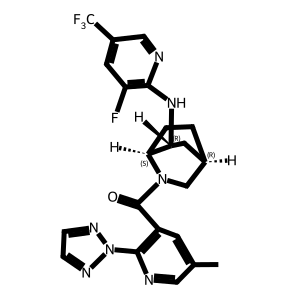 Cc1cnc(-n2nccn2)c(C(=O)N2C[C@@H]3CC[C@H]2[C@H](Nc2ncc(C(F)(F)F)cc2F)C3)c1